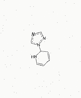 C1=CN[C](n2cncn2)C=C1